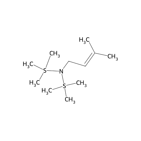 CC(C)=CCN(S(C)(C)C)S(C)(C)C